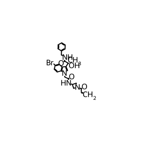 C=CC(=O)N1CC(NC(=O)Cn2cc(C(C)(O)C(=O)NCc3ccccc3)c3cc(Br)ccc32)C1